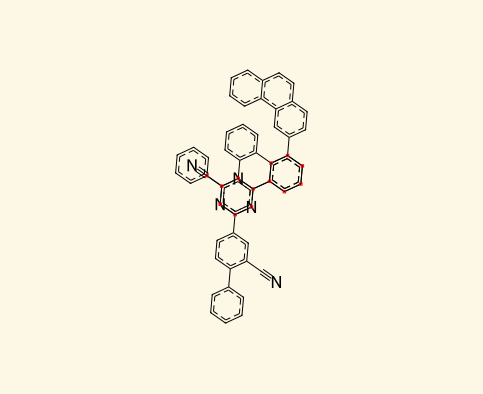 N#Cc1cc(-c2nc(-c3ccccc3)nc(-c3ccccc3-c3ccccc3-c3c(C#N)cccc3-c3cccc(-c4ccc5ccc6ccccc6c5c4)c3)n2)ccc1-c1ccccc1